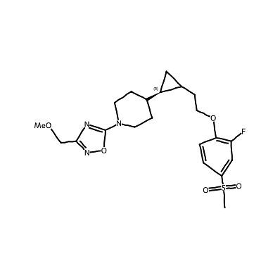 COCc1noc(N2CCC([C@H]3CC3CCOc3ccc(S(C)(=O)=O)cc3F)CC2)n1